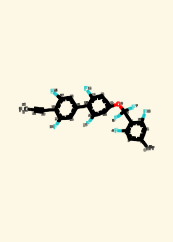 CCCc1cc(F)c(C(F)(F)Oc2cc(F)c(-c3cc(F)c(C#CC(F)(F)F)c(F)c3)c(F)c2)c(F)c1